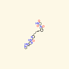 CN1CCC[C@@H]1c1cc2cnc(NC(=O)c3ccc(CCCC#Cc4cccc5c4CN(C4CCC(=O)NC4=O)C5=O)cn3)cc2[nH]1